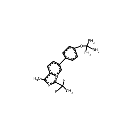 BC(P)(P)Oc1ccc(-c2ccc3c(C)nc(C(C)(F)F)n3c2)cc1